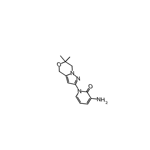 CC1(C)Cn2nc(-n3cccc(N)c3=O)cc2CO1